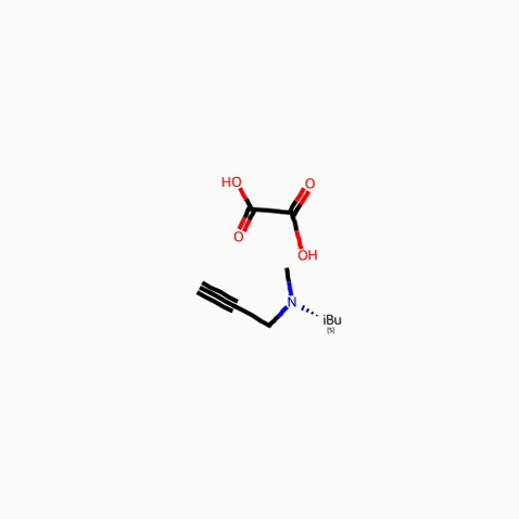 C#CCN(C)[C@@H](C)CC.O=C(O)C(=O)O